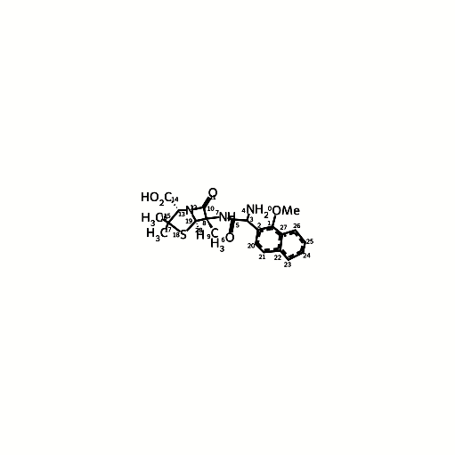 COc1c(C(N)C(=O)N[C@@]2(C)C(=O)N3[C@@H](C(=O)O)C(C)(C)S[C@@H]32)ccc2ccccc12